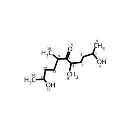 CC(O)CCC(C)C(=O)C(C)CCC(C)O